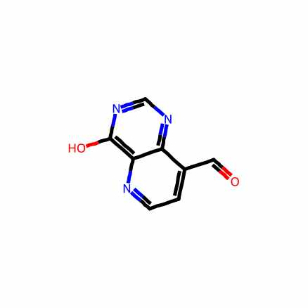 O=Cc1ccnc2c(O)ncnc12